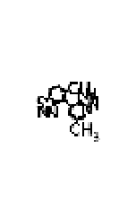 Cc1cc(-c2c(C)ccc3snnc23)c2nnnn2c1